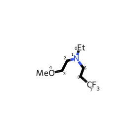 CCN(CCOC)CCC(F)(F)F